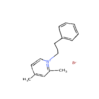 Cc1cc[n+](CCc2ccccc2)c(C)c1.[Br-]